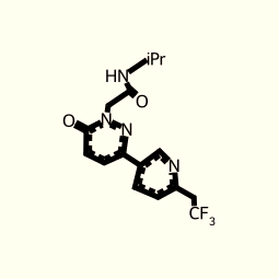 CC(C)NC(=O)Cn1nc(-c2ccc(CC(F)(F)F)nc2)ccc1=O